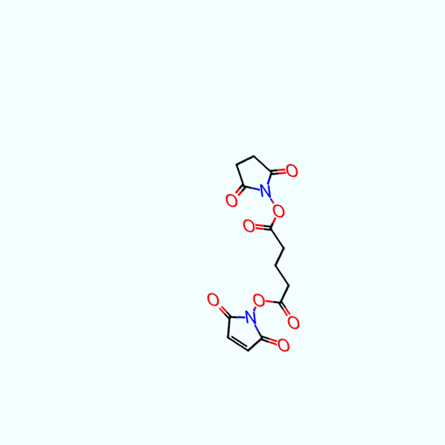 O=C(CCCC(=O)ON1C(=O)CCC1=O)ON1C(=O)C=CC1=O